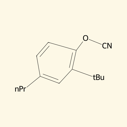 CCCc1ccc(OC#N)c(C(C)(C)C)c1